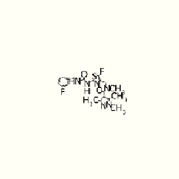 Cc1nn(C)c(C)c1C(=O)N(C)Cc1nc(NC(=O)NCc2cccc(F)c2)sc1F